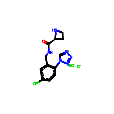 Cl.O=C(NCc1cc(Cl)ccc1N1C=[N+]N=N1)[C@@H]1CCN1.[Cl-]